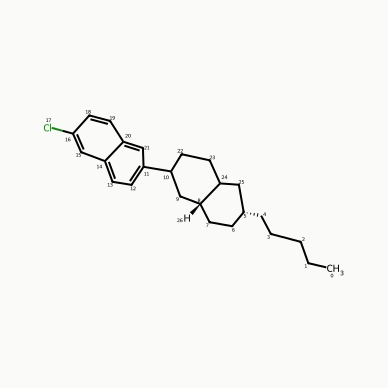 CCCCC[C@@H]1CC[C@@H]2CC(c3ccc4cc(Cl)ccc4c3)CCC2C1